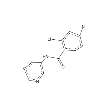 O=C(Nc1cncnc1)c1ccc(Cl)cc1Cl